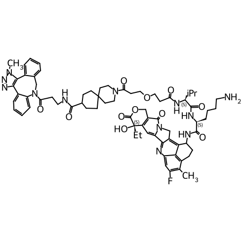 CC[C@@]1(O)C(=O)OCc2c1cc1n(c2=O)Cc2c-1nc1cc(F)c(C)c3c1c2C(NC(=O)[C@H](CCCCN)NC(=O)[C@@H](NC(=O)CCOCCC(=O)N1CCC2(CCC(C(=O)NCCC(=O)N4Cc5ccccc5-c5c(nnn5C)-c5ccccc54)CC2)CC1)C(C)C)CC3